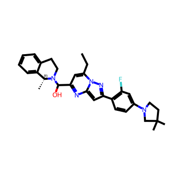 CCc1cc(C(O)N2CCc3ccccc3[C@H]2C)nc2cc(-c3ccc(N4CCC(C)(C)C4)cc3F)nn12